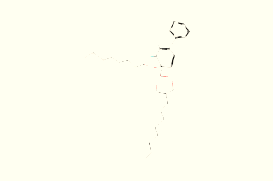 CCCCCCCCOC1(C2OCC(CCCCCCCC)CO2)C=CC(c2ccccc2)=C(F)C1F